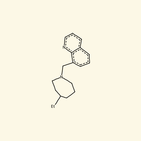 CCC1CCCN(Cc2cccc3cccnc23)CC1